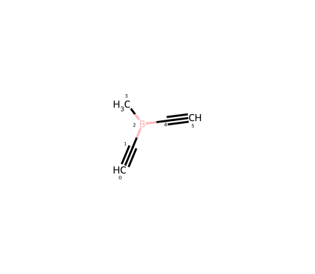 C#CB(C)C#C